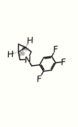 Fc1cc(F)c(CN2C[C@H]3C[C@H]3C2)cc1F